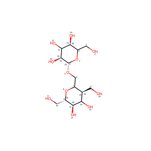 OCC1O[C@H](OCC2O[C@@H](CO)[C@H](O)C(O)[C@@H]2CO)[C@@H](O)C(O)[C@H]1O